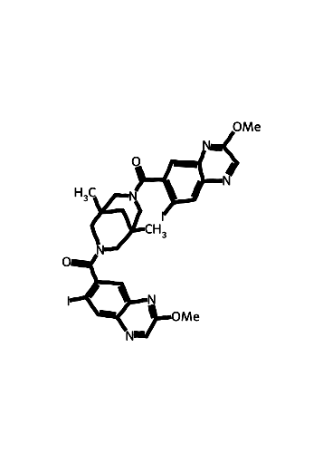 COc1cnc2cc(I)c(C(=O)N3CC4(C)CN(C(=O)c5cc6nc(OC)cnc6cc5I)CC(C)(C3)C4)cc2n1